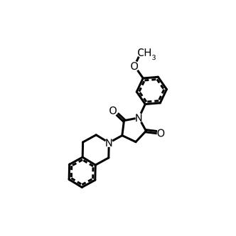 COc1cccc(N2C(=O)CC(N3CCc4ccccc4C3)C2=O)c1